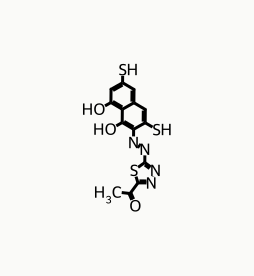 CC(=O)c1nnc(/N=N/c2c(S)cc3cc(S)cc(O)c3c2O)s1